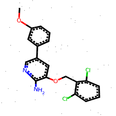 COc1cccc(-c2cnc(N)c(OCc3c(Cl)cccc3Cl)c2)c1